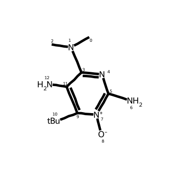 CN(C)c1nc(N)[n+]([O-])c(C(C)(C)C)c1N